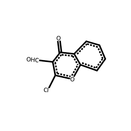 O=Cc1c(Cl)oc2ccccc2c1=O